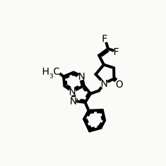 Cc1cnc2c(CN3CC(C=C(F)F)CC3=O)c(-c3ccccc3)nn2c1